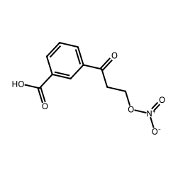 O=C(O)c1cccc(C(=O)CCO[N+](=O)[O-])c1